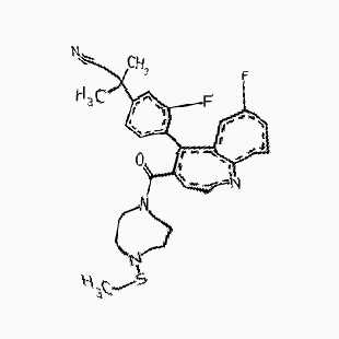 CSN1CCN(C(=O)c2cnc3ccc(F)cc3c2-c2ccc(C(C)(C)C#N)cc2F)CC1